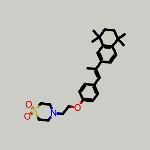 C/C(=C\c1ccc(OCCN2CCS(=O)(=O)CC2)cc1)c1ccc2c(c1)C(C)(C)CCC2(C)C